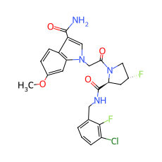 COc1ccc2c(C(N)=O)cn(CC(=O)N3C[C@H](F)C[C@H]3C(=O)NCc3cccc(Cl)c3F)c2c1